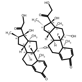 C[C@@H]1C[C@H]2[C@@H]3CCC4=CC(=O)C=C[C@]4(C)[C@@]3(F)[C@@H](O)C[C@]2(C)[C@@]1(O)C(=O)CO.C[C@H]1C[C@H]2[C@@H]3CCC4=CC(=O)C=C[C@]4(C)[C@@]3(F)[C@@H](O)C[C@]2(C)[C@@]1(O)C(=O)CO